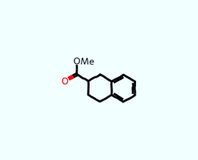 COC(=O)C1CCc2ccccc2C1